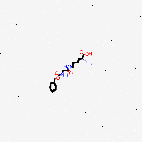 N[C@@H](CCCCNC(=O)CNC(=O)OCc1ccccc1)C(=O)O